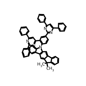 CC1(C)c2ccccc2-c2cc3c(cc21)c1ccccc1n3-c1ccc(-c2nc(-c3ccccc3)cc(-c3ccccc3)n2)cc1-c1cc(-c2ccccc2)nc(-c2ccccc2)n1